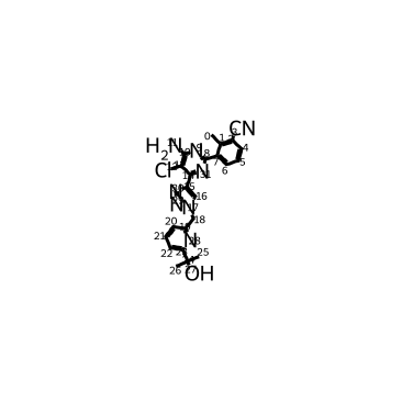 Cc1c(C#N)cccc1-c1nc(N)c(Cl)c(-c2cn(Cc3cccc(C(C)(C)O)n3)nn2)n1